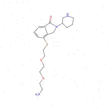 NCCOCCOCCSc1cccc2c1CN(C1CCCNC1)C2=O